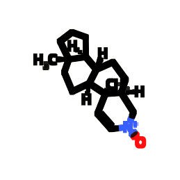 C[C@@]12CCC[C@H]1[C@@H]1CC[C@H]3C[N+](=O)C=C[C@]3(C)[C@H]1CC2